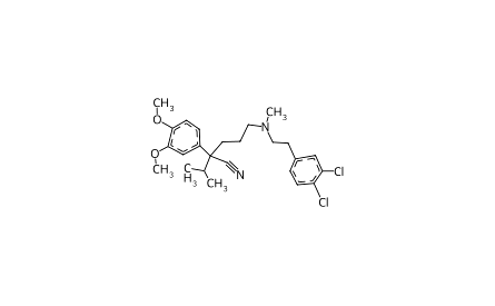 COc1ccc(C(C#N)(CCCN(C)CCc2ccc(Cl)c(Cl)c2)C(C)C)cc1OC